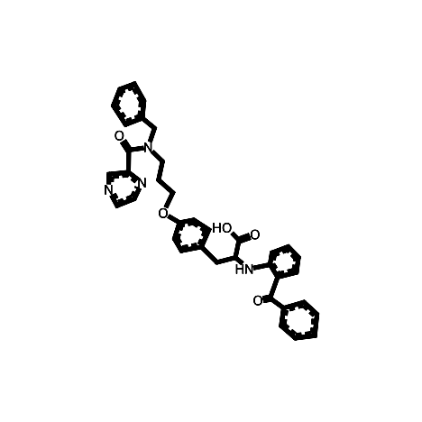 O=C(c1ccccc1)c1ccccc1NC(Cc1ccc(OCCCN(Cc2ccccc2)C(=O)c2cnccn2)cc1)C(=O)O